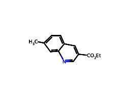 CCOC(=O)c1cnc2cc(C)ccc2c1